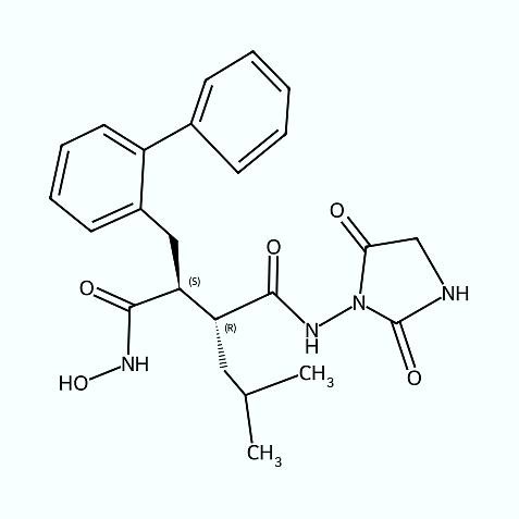 CC(C)C[C@@H](C(=O)NN1C(=O)CNC1=O)[C@H](Cc1ccccc1-c1ccccc1)C(=O)NO